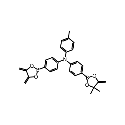 C=C1OB(c2ccc(N(c3ccc(C)cc3)c3ccc(B4OC(=C)C(C)(C)O4)cc3)cc2)OC1=C